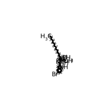 CCCCCCCCCCCCCNC(=O)[C@@H](NC(=O)c1cc2cc(Br)ccc2[nH]1)[C@@H](C)O